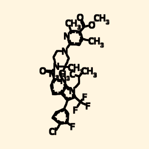 COC(=O)c1c(C)cc(N2CCN(C(=O)c3ccc4c(-c5ccc(Cl)c(F)c5)c(C(F)(F)F)n(CC(C)C)c4n3)C(C)(C)C2)nc1C